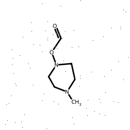 CN1CCN(O[C]=O)CC1